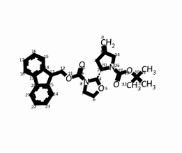 C=C1C[C@@H](C2OCCN2C(=O)OCC2c3ccccc3-c3ccccc32)N(C(=O)OC(C)(C)C)C1